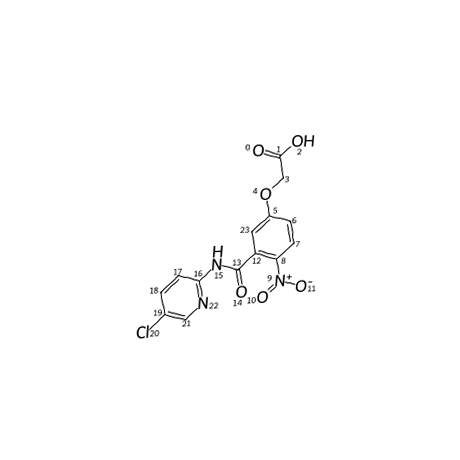 O=C(O)COc1ccc([N+](=O)[O-])c(C(=O)Nc2ccc(Cl)cn2)c1